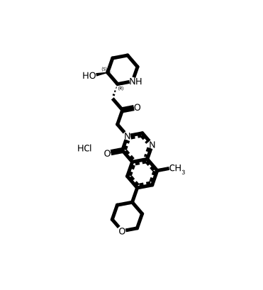 Cc1cc(C2CCOCC2)cc2c(=O)n(CC(=O)C[C@H]3NCCC[C@@H]3O)cnc12.Cl